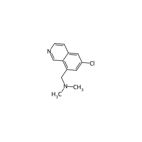 CN(C)Cc1cc(Cl)cc2ccncc12